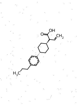 C=CC(C(=O)O)[C@H]1CC[C@H](c2ccc(CCC)cc2)CC1